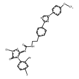 CCn1s/c(=N\C(=O)NCCc2ccc(-c3ncn(-c4ccc(OC(F)(F)F)cc4)n3)cc2)n(-c2ccc(F)cc2C(C)C)c1=O